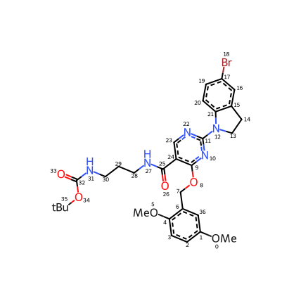 COc1ccc(OC)c(COc2nc(N3CCc4cc(Br)ccc43)ncc2C(=O)NCCCNC(=O)OC(C)(C)C)c1